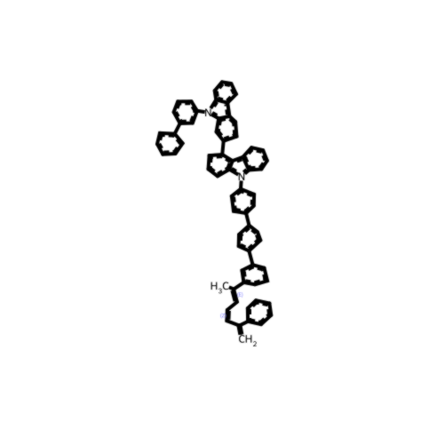 C=C(/C=C\C=C(/C)c1cccc(-c2ccc(-c3ccc(-n4c5ccccc5c5c(-c6ccc7c8ccccc8n(-c8cccc(-c9ccccc9)c8)c7c6)cccc54)cc3)cc2)c1)c1ccccc1